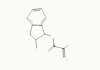 C=C(C)C(=O)OC1c2ccccc2CC1CC